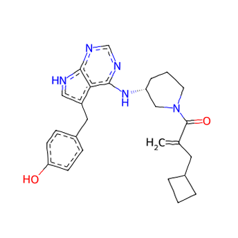 C=C(CC1CCC1)C(=O)N1CCC[C@@H](Nc2ncnc3[nH]cc(Cc4ccc(O)cc4)c23)C1